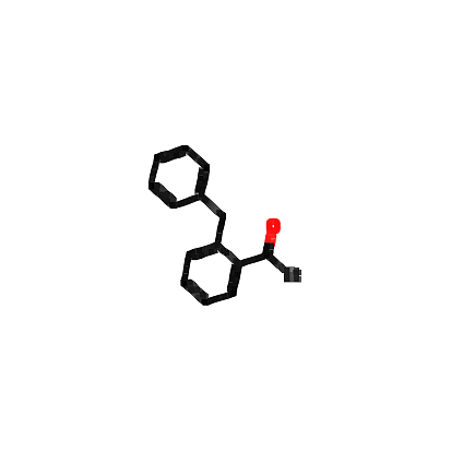 CCC(=O)c1ccccc1Cc1ccccc1